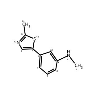 CNc1cccc(-c2cnc(C)s2)c1